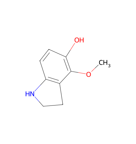 COc1c(O)ccc2c1CCN2